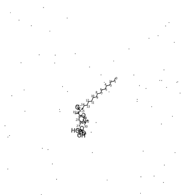 CCCCCCCCCCCCCCCC[S+]([O-])C(C)C(CC(COP(=O)(O)O)[N+](C)(C)C)OC